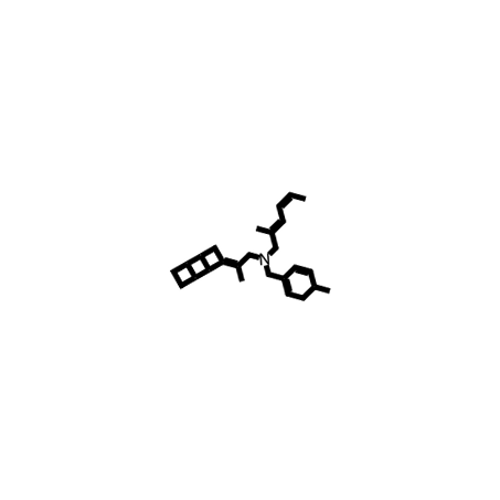 C/C=C\C=C(/C)CN(CC1=CCC(C)C=C1)C/C(C)=C1\CC2C3CCC3C12